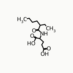 CCCCC(CC)C(=O)NC(CCC(=O)O)C(=O)O